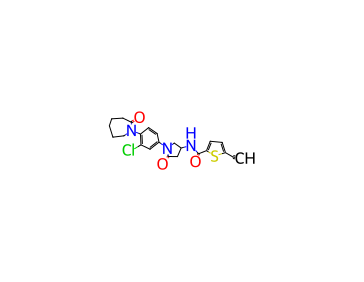 C#Cc1ccc(C(=O)NC2CC(=O)N(c3ccc(N4CCCCCC4=O)c(Cl)c3)C2)s1